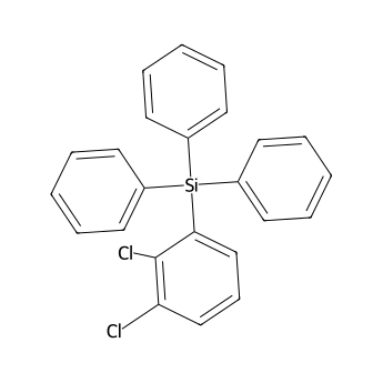 Clc1cccc([Si](c2ccccc2)(c2ccccc2)c2ccccc2)c1Cl